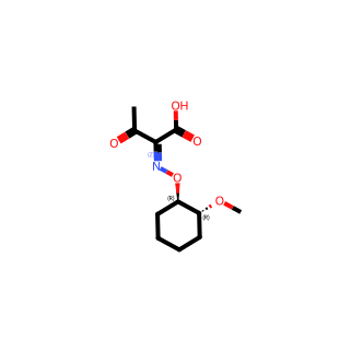 CO[C@@H]1CCCC[C@H]1O/N=C(/C(C)=O)C(=O)O